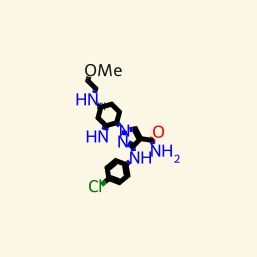 COCCN[C@H]1CCC(n2cc(C(N)=O)c(Nc3ccc(Cl)cc3)n2)C(=N)C1